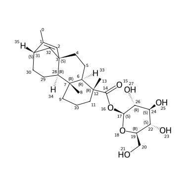 CC1=C[C@]23CC[C@@H]4[C@](C)(CCC[C@@]4(C)C(=O)O[C@@H]4O[C@H](CO)[C@@H](O)[C@H](O)[C@H]4O)[C@H]2CC[C@H]1C3